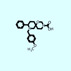 COc1ccc(CN2CC3(CCC2c2ccccc2)CCN(C(=O)O)CO3)cc1